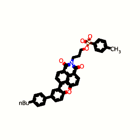 CCCCc1ccc(-c2ccc3oc4ccc5c(=O)n(CCCOS(=O)(=O)c6ccc(C)cc6)c(=O)c6ccc(c3c2)c4c56)cc1